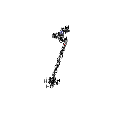 O=C(CCOCCOCCOCCOCCOCCOCCOCCOCCSCc1cccc(C(=O)Nc2ccc(N3CCCCC3)cc2C(=O)N/N=C/c2ccc(Cl)c(C(F)(F)F)c2)c1)N[C@H]1C(O)O[C@H](CO)[C@@H](O)[C@@H]1O